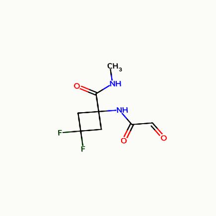 CNC(=O)C1(NC(=O)C=O)CC(F)(F)C1